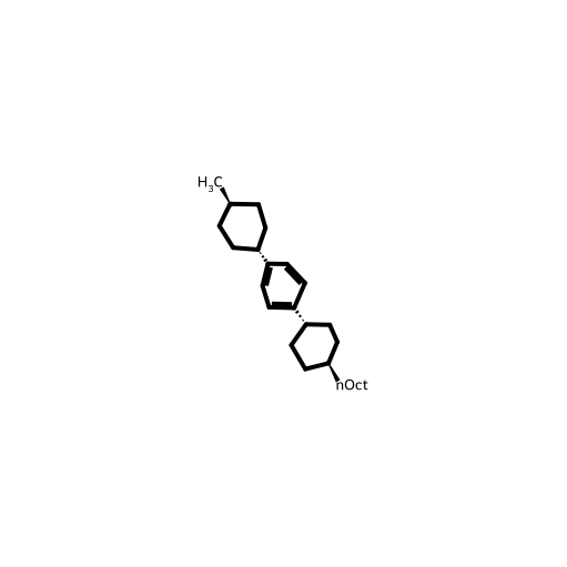 CCCCCCCC[C@H]1CC[C@H](c2ccc([C@H]3CC[C@H](C)CC3)cc2)CC1